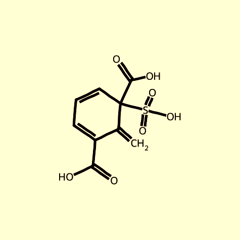 C=C1C(C(=O)O)=CC=CC1(C(=O)O)S(=O)(=O)O